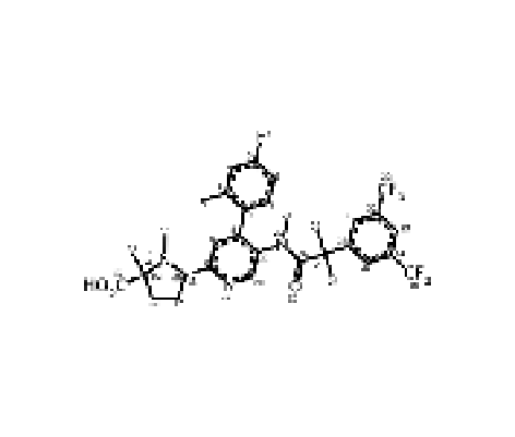 Cc1cc(F)ccc1-c1cc([C@H]2CC[C@@](C)(C(=O)O)N2C)ncc1N(C)C(=O)C(C)(C)c1cc(C(F)(F)F)cc(C(F)(F)F)c1